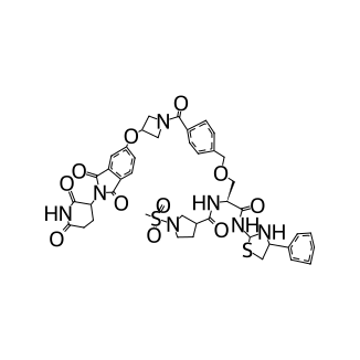 CS(=O)(=O)N1CCC(C(=O)N[C@@H](COCc2ccc(C(=O)N3CC(Oc4ccc5c(c4)C(=O)N(C4CCC(=O)NC4=O)C5=O)C3)cc2)C(=O)NC2NC(c3ccccc3)CS2)C1